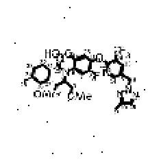 COCC(COC)N(c1cc(F)c(Oc2ncc(Cn3ncc(C)n3)cc2C(F)(F)F)cc1C(=O)O)C(=O)[C@H]1CC[C@H](C)CC1